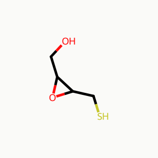 OCC1OC1CS